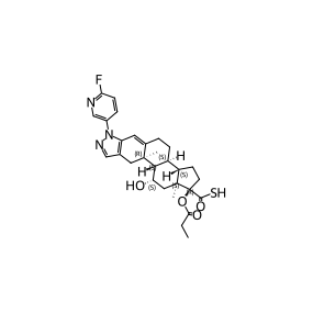 CCC(=O)O[C@]1(C(=O)S)CC[C@H]2[C@@H]3CCC4=Cc5c(cnn5-c5ccc(F)nc5)C[C@]4(C)[C@H]3[C@@H](O)C[C@@]21C